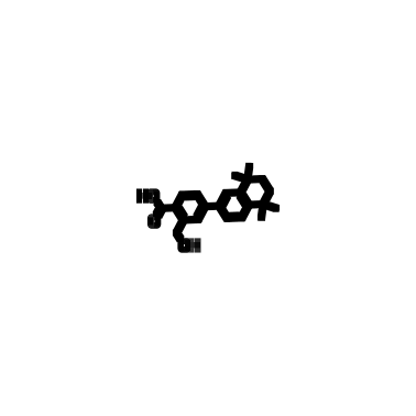 CC1(C)CCC(C)(C)c2cc(-c3ccc(C(=O)O)c(CO)c3)ccc21